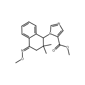 CON=C1CC(C)(C)C(n2cncc2C(=O)OC)c2ccccc21